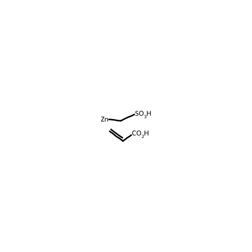 C=CC(=O)O.O=S(=O)(O)[CH2][Zn]